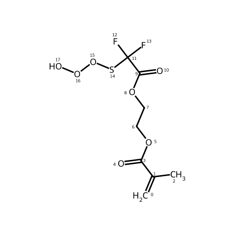 C=C(C)C(=O)OCCOC(=O)C(F)(F)SOOO